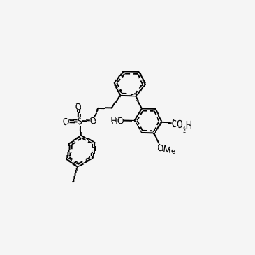 COc1cc(O)c(-c2ccccc2CCOS(=O)(=O)c2ccc(C)cc2)cc1C(=O)O